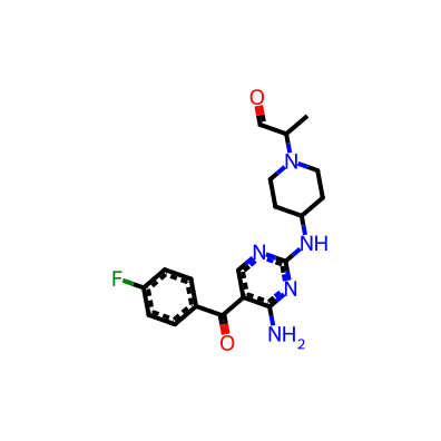 CC(C=O)N1CCC(Nc2ncc(C(=O)c3ccc(F)cc3)c(N)n2)CC1